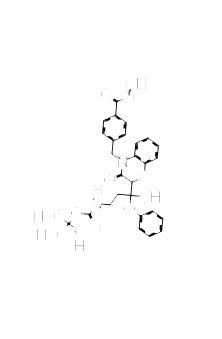 COC(=O)c1ccc(CN2C(=O)C(C(C)(CCNC(=O)OC(C)(C)C)Oc3ccccc3)Oc3ccccc32)cc1